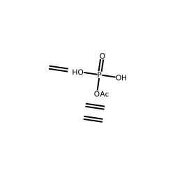 C=C.C=C.C=C.CC(=O)OP(=O)(O)O